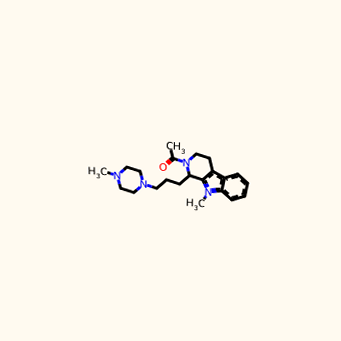 CC(=O)N1CCc2c(n(C)c3ccccc23)C1CCCN1CCN(C)CC1